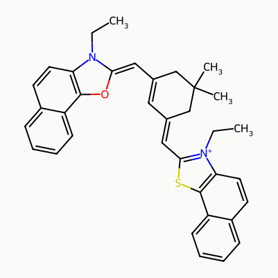 CCN1/C(=C/C2=CC(=C/c3sc4c5ccccc5ccc4[n+]3CC)/CC(C)(C)C2)Oc2c1ccc1ccccc21